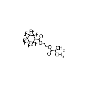 C=C(C)C(=O)OCCOC(=O)C1C(F)(F)C(F)(F)C(F)(F)C(F)(F)C1(F)F